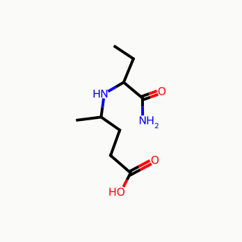 CCC(NC(C)CCC(=O)O)C(N)=O